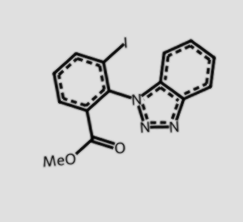 COC(=O)c1cccc(I)c1-n1nnc2ccccc21